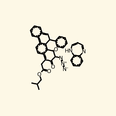 C1=CNc2ccccc2N=C1.CC(C)COC(=O)CC1=c2ccc3c(c2C(=O)C(N=[N+]=[N-])C1=O)C(c1ccccc1)C=c1ccccc1=3